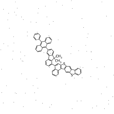 CC1(C)c2ccc(-c3c4ccccc4c(-c4ccccc4)c4ccccc34)cc2-c2cccc(-c3cc4sc5cc6c(cc5c4c4ccccc34)sc3ccccc36)c21